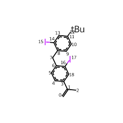 C=C(C)c1ccc(Cc2ccc(C(C)(C)C)cc2I)c(I)c1